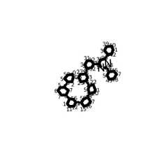 c1ccc(-c2cccc(-c3cccc(-c4cccc(-c5cccc(-c6cccc(-c7cccc(-c8cc(-c9ccccc9)nc(-c9ccccc9)n8)c7)c6)c5)c4)c3)c2)cc1